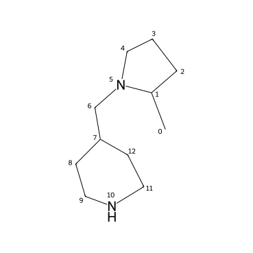 CC1CCCN1CC1CCNCC1